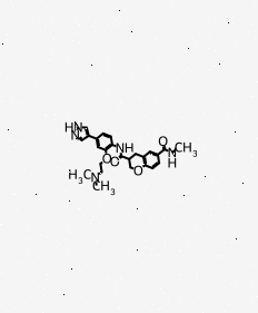 CNC(=O)c1ccc2c(c1)CC(C(=O)Nc1ccc(-c3cn[nH]c3)cc1OCCN(C)C)CO2